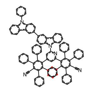 N#Cc1c(-c2ccccc2)c(-c2ccccc2)c(-c2cc(-c3c(-c4ccccc4)c(-c4ccccc4)c(C#N)c(-c4ccccc4)c3-c3ccccc3)nc(-n3c4ccccc4c4cc(-c5ccc6c(c5)c5ccccc5n6-c5ccccc5)ccc43)c2)c(-c2ccccc2)c1-c1ccccc1